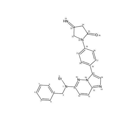 CCN(Cc1ccccc1)c1ccc2ncc(-c3ccc(N4CC(=N)CC4=O)cc3)n2n1